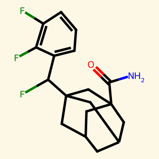 NC(=O)C12CC3CC(C1)CC(C(F)c1cccc(F)c1F)(C3)C2